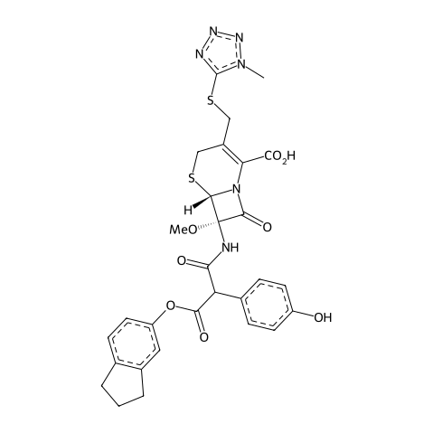 CO[C@@]1(NC(=O)C(C(=O)Oc2ccc3c(c2)CCC3)c2ccc(O)cc2)C(=O)N2C(C(=O)O)=C(CSc3nnnn3C)CS[C@H]21